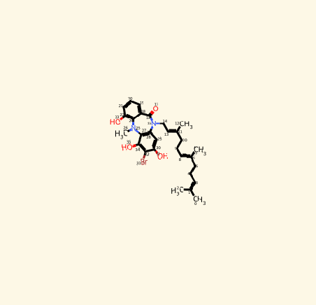 CC(C)=CCC/C(C)=C/CC/C(C)=C/CN1C(=O)c2cccc(O)c2N(C)c2c1cc(O)c(Br)c2O